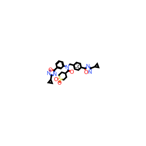 O=C(C1CCS(=O)(=O)CC1)N(CC12CCC(c3nc(C4CC4)no3)(CC1)CC2)c1cccc(-c2nc(C3CC3)no2)c1